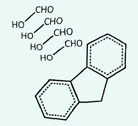 O=CO.O=CO.O=CO.O=CO.c1ccc2c(c1)Cc1ccccc1-2